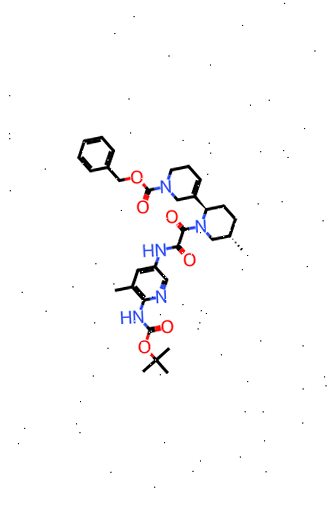 Cc1cc(NC(=O)C(=O)N2C[C@@H](C)CC[C@@H]2C2=CCCN(C(=O)OCc3ccccc3)C2)cnc1NC(=O)OC(C)(C)C